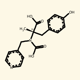 C[C@](Cc1ccc(O)cc1)(C(=O)O)N(Cc1ccncc1)C(=O)O